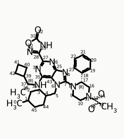 CC1CCC(Cn2c(N3CCN(S(C)(=O)=O)C[C@H]3c3ccccc3)nc3nc(-c4noc(=O)[nH]4)nc(N[C@H](C)C4CCC4)c32)CC1